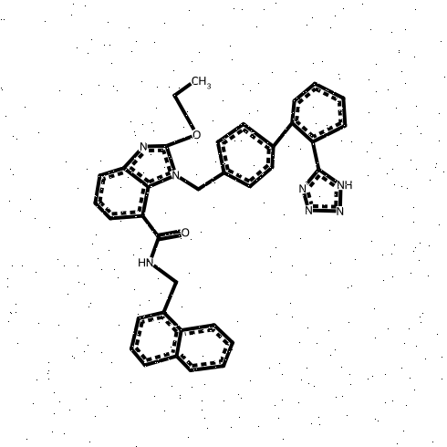 CCOc1nc2cccc(C(=O)NCc3cccc4ccccc34)c2n1Cc1ccc(-c2ccccc2-c2nnn[nH]2)cc1